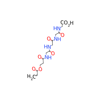 C=CC(=O)OCCC(=O)NCC(=O)NCC(=O)NCC(=O)NCC(=O)O